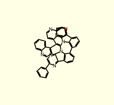 c1ccc(-c2cnc3c(n2)c2cccc4c5cccc6c7nccnc7n(c(=C(c7ccnc8ccccc78)c7ccnc8ccccc78)n3c42)c56)cc1